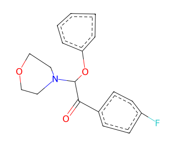 O=C(c1ccc(F)cc1)C(Oc1ccccc1)N1CCOCC1